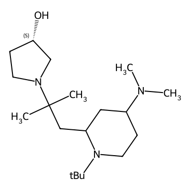 CN(C)C1CCN(C(C)(C)C)C(CC(C)(C)N2CC[C@H](O)C2)C1